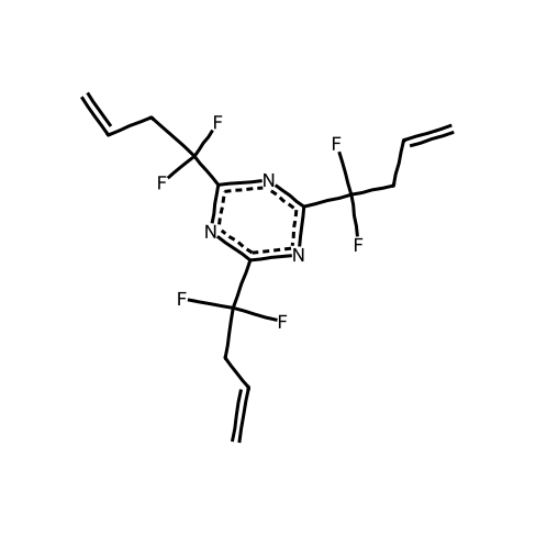 C=CCC(F)(F)c1nc(C(F)(F)CC=C)nc(C(F)(F)CC=C)n1